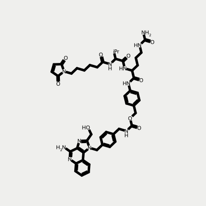 CC(C)C(NC(=O)CCCCCN1C(=O)C=CC1=O)C(=O)NC(CCCNC(N)=O)C(=O)Nc1ccc(COC(=O)NCc2ccc(Cn3c(CO)nc4c(N)nc5ccccc5c43)cc2)cc1